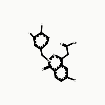 O=C(O)Cc1nn(Cc2ccc(Cl)c(Cl)c2)c(=O)c2ccc(Cl)cc12